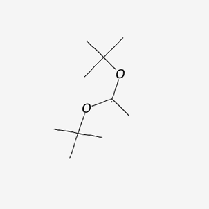 C[C](OC(C)(C)C)OC(C)(C)C